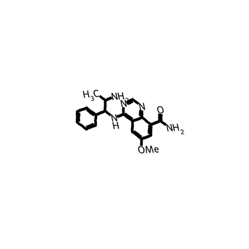 COc1cc(C(N)=O)c2ncnc(NC(c3ccccc3)C(C)N)c2c1